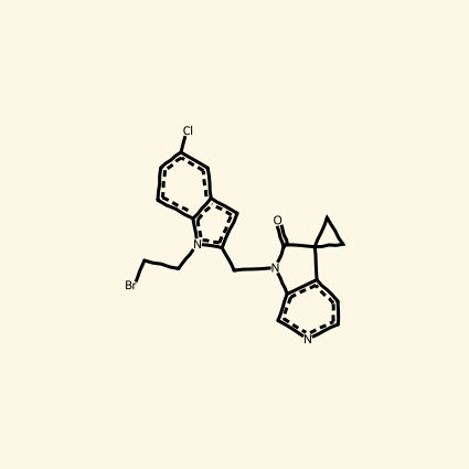 O=C1N(Cc2cc3cc(Cl)ccc3n2CCBr)c2cnccc2C12CC2